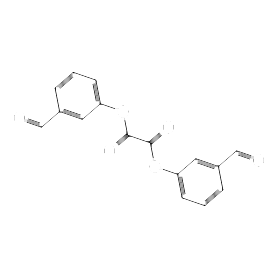 O=Cc1cccc(OC(=O)C(=O)Oc2cccc(C=O)c2)c1